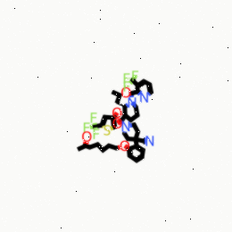 CCC[C@H]1N(C(=O)c2ncccc2C(F)(F)F)CCC[C@@]1(Oc1csc(C(F)(F)F)c1)C(=O)N1CCC(C#N)(c2ccccc2OCCCCCC(C)=O)CC1